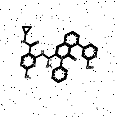 COc1cc(-c2cccc3cc([C@H](C)Nc4nc(C)ncc4C(=O)NC4CC4)n(-c4ccccc4)c(=O)c23)ccn1